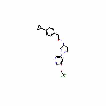 O=C(Cc1ccc(C2CC2)cc1)NC1CCN(c2cncc(OCC(F)(F)F)c2)C1